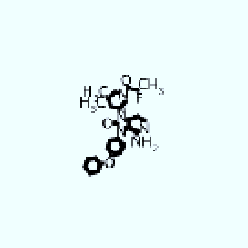 CC(F)C(=O)N1C[C@@H](n2c(=O)n(-c3ccc(Oc4ccccc4)cc3)c3c(N)nccc32)CC(C)(C)C1